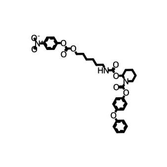 O=C(NCCCCCCOC(=O)Oc1ccc([N+](=O)[O-])cc1)OC1CCCCN1C(=O)Oc1ccc(Oc2ccccc2)cc1